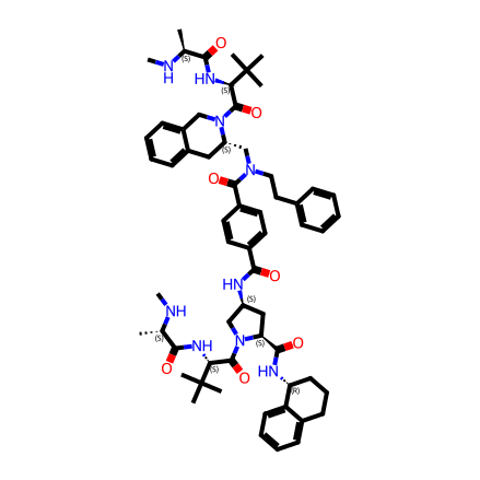 CN[C@@H](C)C(=O)N[C@H](C(=O)N1Cc2ccccc2C[C@H]1CN(CCc1ccccc1)C(=O)c1ccc(C(=O)N[C@H]2C[C@@H](C(=O)N[C@@H]3CCCc4ccccc43)N(C(=O)[C@@H](NC(=O)[C@H](C)NC)C(C)(C)C)C2)cc1)C(C)(C)C